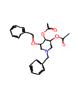 CC(=O)OC1CN(Cc2ccccc2)CC(OCc2ccccc2)C1OC(C)=O